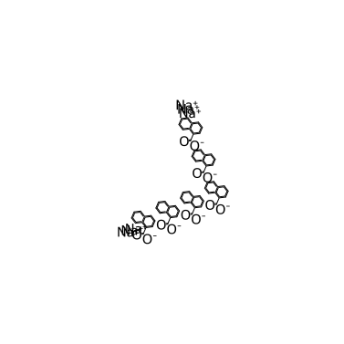 O=C([O-])c1cccc2ccccc12.O=C([O-])c1cccc2ccccc12.O=C([O-])c1cccc2ccccc12.O=C([O-])c1cccc2ccccc12.O=C([O-])c1cccc2ccccc12.O=C([O-])c1cccc2ccccc12.[Na+].[Na+].[Na+].[Na+].[Na+].[Na+]